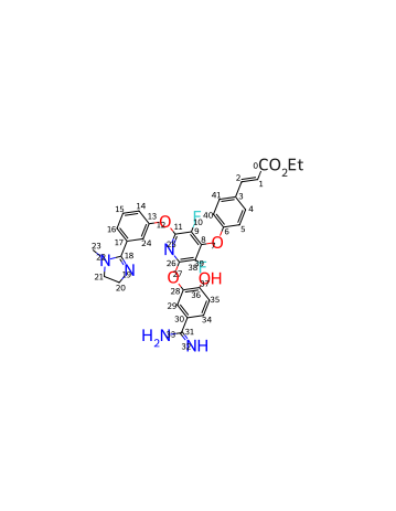 CCOC(=O)/C=C/c1ccc(Oc2c(F)c(Oc3cccc(C4=NCCN4C)c3)nc(Oc3cc(C(=N)N)ccc3O)c2F)cc1